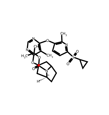 Cc1nc(S(=O)(=O)C2CC2)ccc1Oc1ncnc(OC2CC3CC[C@@H](C2)N3C(=O)OC(C)C)c1C